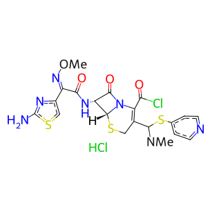 CNC(Sc1ccncc1)C1=C(C(=O)Cl)N2C(=O)[C@@H](NC(=O)/C(=N\OC)c3csc(N)n3)[C@H]2SC1.Cl